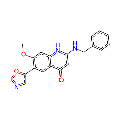 COc1cc2[nH]c(NCc3ccccc3)cc(=O)c2cc1-c1cnco1